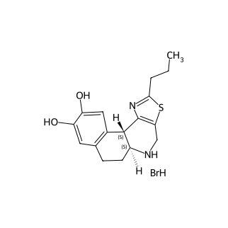 Br.CCCc1nc2c(s1)CN[C@H]1CCc3cc(O)c(O)cc3[C@H]21